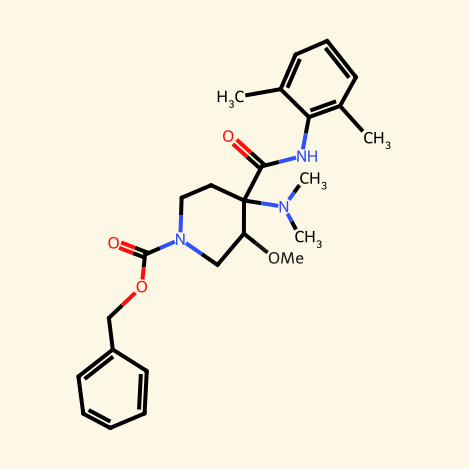 COC1CN(C(=O)OCc2ccccc2)CCC1(C(=O)Nc1c(C)cccc1C)N(C)C